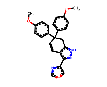 COc1ccc(C2(c3ccc(OC)cc3)C=Cc3c(-c4cocn4)n[nH]c3C2)cc1